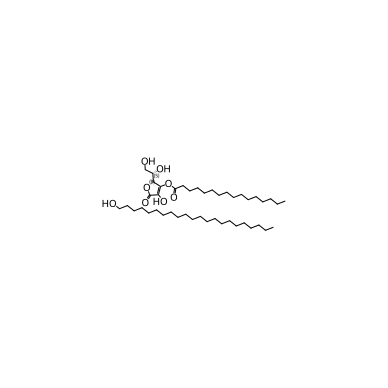 CCCCCCCCCCCCCCCC(=O)OC1=C(O)C(=O)O[C@@H]1[C@@H](O)CO.CCCCCCCCCCCCCCCCCCCCCCO